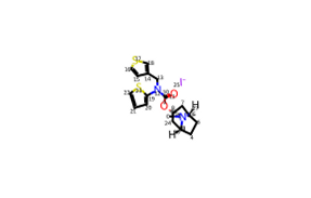 C[N+]1(C)[C@@H]2CC[C@H]1C[C@@H](OC(=O)N(Cc1ccsc1)c1cccs1)C2.[I-]